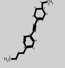 CCCCc1ccc(C#CC2=CCC(CC)CC2)cc1